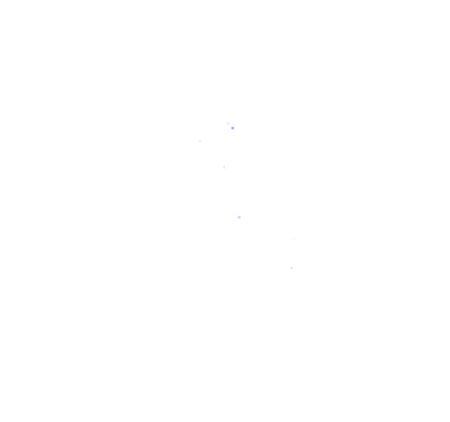 NC(=O)c1cc(-c2ccnc(N)n2)n(CCOC2CCCCO2)c1-c1ccccc1